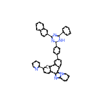 c1ccc(C2=NC(c3ccc4ccccc4c3)=NC(c3ccc(-c4ccc5c(c4)c4cc(-c6ccccn6)ccc4c4nc6ccccn6c54)cc3)N2)cc1